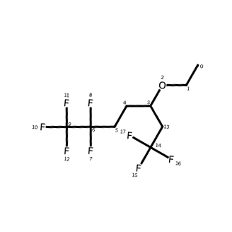 [CH2]COC(CCC(F)(F)C(F)(F)F)CC(F)(F)F